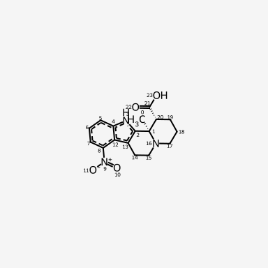 C[C@@]12c3[nH]c4cccc([N+](=O)[O-])c4c3CCN1CCC[C@H]2C(=O)O